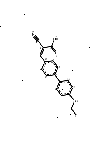 CCOc1ccc(-c2ccc(C=C(C#N)C(=O)O)cc2)cc1